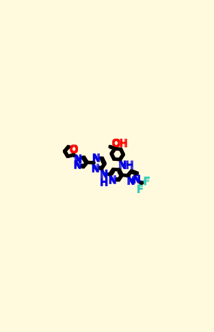 CC1(O)CCC(Nc2cc(Nc3ccnc(-c4cnn(C5CCCO5)c4)n3)ncc2-c2ccn(C(F)F)n2)CC1